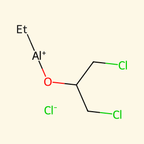 C[CH2][Al+][O]C(CCl)CCl.[Cl-]